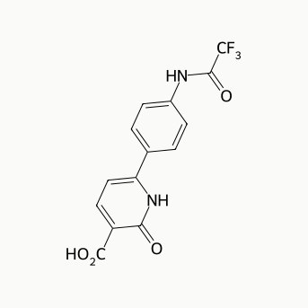 O=C(O)c1ccc(-c2ccc(NC(=O)C(F)(F)F)cc2)[nH]c1=O